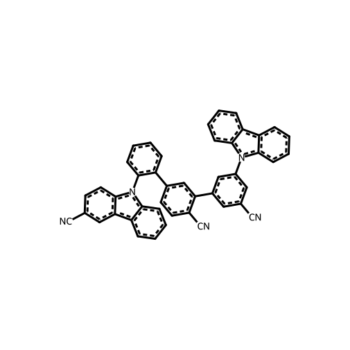 N#Cc1cc(-c2cc(-c3ccccc3-n3c4ccccc4c4cc(C#N)ccc43)ccc2C#N)cc(-n2c3ccccc3c3ccccc32)c1